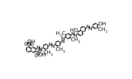 Cc1cc(N=Nc2ccc3c(O)c(N=Nc4cc(C)c(N=Nc5ccc(N=Nc6ccc(N=Nc7cc8c(S(=O)(=O)O)cccc8cc7S(=O)(=O)O)c(C)c6)c(C)c5)cc4C)ccc3c2)ccc1O